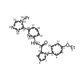 CCOc1ccc(-n2cccc2C(=O)Nc2cccc(-c3nncn3C(C)C)n2)cc1